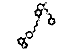 O=C1CCc2ccc(OCCCCN3CCN(c4cccc5sccc45)CC3)cc2N1COCc1ccccc1